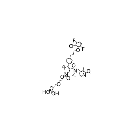 COc1nccc(CN(C(=O)C2=C(c3ccc(CCCOc4c(F)ccc(F)c4Cl)cc3)C3(CC3)CN(C(=O)OCCOCCON(O)O)C2)C2CC2)c1C